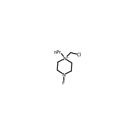 CCC[N+]1(CCl)CCN(F)CC1